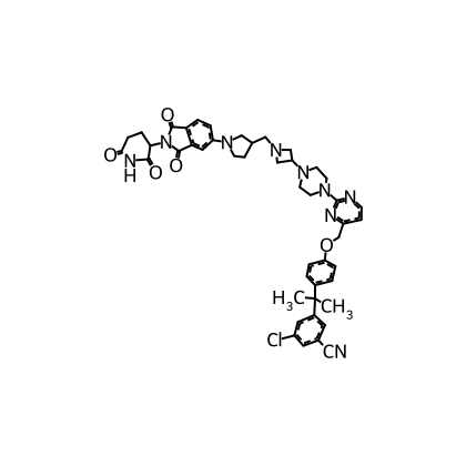 CC(C)(c1ccc(OCc2ccnc(N3CCN(C4CN(CC5CCN(c6ccc7c(c6)C(=O)N(C6CCC(=O)NC6=O)C7=O)C5)C4)CC3)n2)cc1)c1cc(Cl)cc(C#N)c1